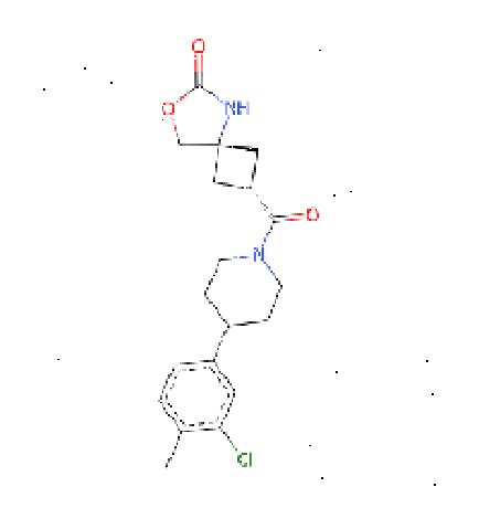 Cc1ccc(C2CCN(C(=O)[C@H]3C[C@]4(COC(=O)N4)C3)CC2)cc1Cl